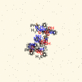 CC(C)c1nc(CN(C)C(=O)N[C@H](C(=O)N[C@@H](Cc2ccccc2)C[C@H](O)[C@H](Cc2ccccc2)NC(=O)OCc2cncs2)C(C)C)cs1.C[C@H](Cn1cnc2c(N)ncnc21)OCP(=O)(O)O.Cc1cccc(C)c1OCC(=O)N[C@@H](Cc1ccccc1)[C@@H](O)C[C@H](Cc1ccccc1)NC(=O)[C@H](C(C)C)N1CCCNC1=O